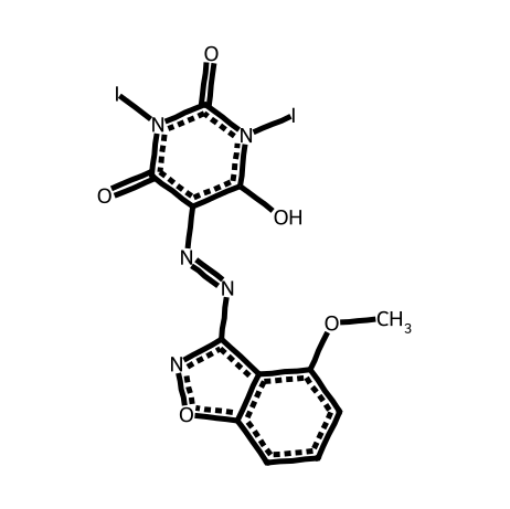 COc1cccc2onc(N=Nc3c(O)n(I)c(=O)n(I)c3=O)c12